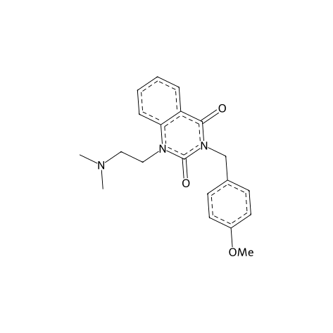 COc1ccc(Cn2c(=O)c3ccccc3n(CCN(C)C)c2=O)cc1